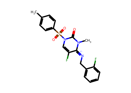 Cc1ccc(S(=O)(=O)n2cc(F)/c(=N\Cc3ccccc3F)n(C)c2=O)cc1